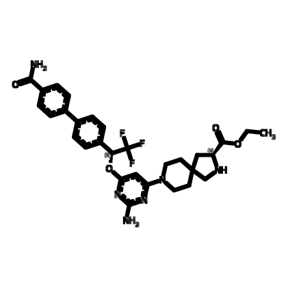 CCOC(=O)[C@@H]1CC2(CCN(c3cc(O[C@H](c4ccc(-c5ccc(C(N)=O)cc5)cc4)C(F)(F)F)nc(N)n3)CC2)CN1